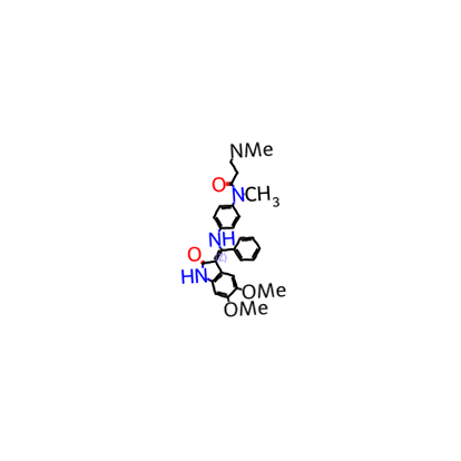 CNCCC(=O)N(C)c1ccc(N/C(=C2\C(=O)Nc3cc(OC)c(OC)cc32)c2ccccc2)cc1